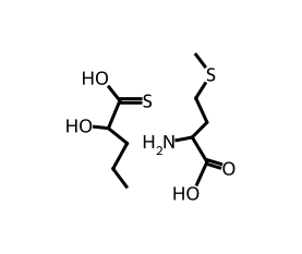 CCCC(O)C(O)=S.CSCCC(N)C(=O)O